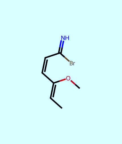 C/C=C(/C=C\C(=N)Br)OC